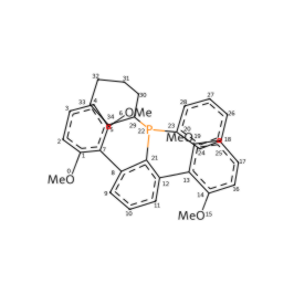 COc1cccc(OC)c1-c1cccc(-c2c(OC)cccc2OC)c1P(c1ccccc1)C1CCCCC1